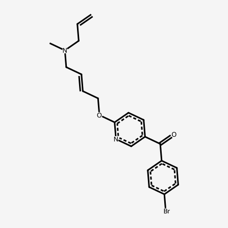 C=CCN(C)CC=CCOc1ccc(C(=O)c2ccc(Br)cc2)cn1